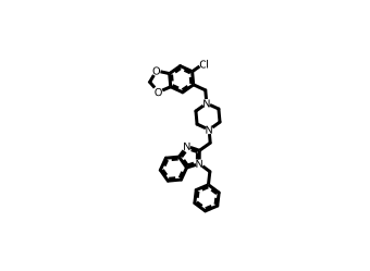 Clc1cc2c(cc1CN1CCN(Cc3nc4ccccc4n3Cc3ccccc3)CC1)OCO2